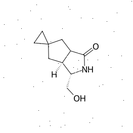 O=C1N[C@H](CO)[C@H]2CC3(CC3)CC12